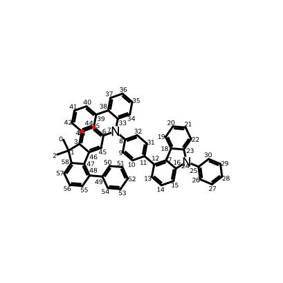 CC1(C)c2ccc(N(c3ccc(-c4cccc5c4c4ccccc4n5-c4ccccc4)cc3)c3ccccc3-c3ccccc3)cc2-c2c(-c3ccccc3)cccc21